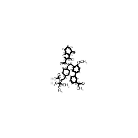 COc1ccc(-c2cccc(C(C)=O)c2)cc1CN(C(=O)c1sc2cccc(F)c2c1Cl)C1CCC(CN(C(=O)O)C(C)(C)C)CC1